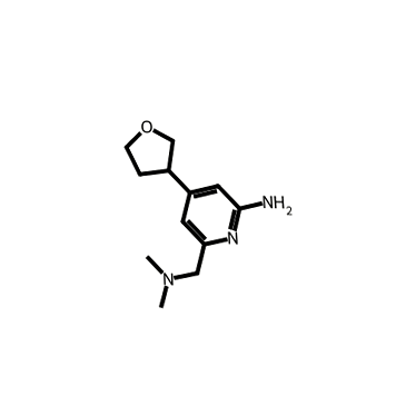 CN(C)Cc1cc(C2CCOC2)cc(N)n1